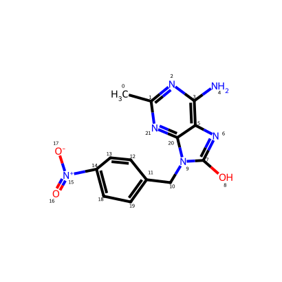 Cc1nc(N)c2nc(O)n(Cc3ccc([N+](=O)[O-])cc3)c2n1